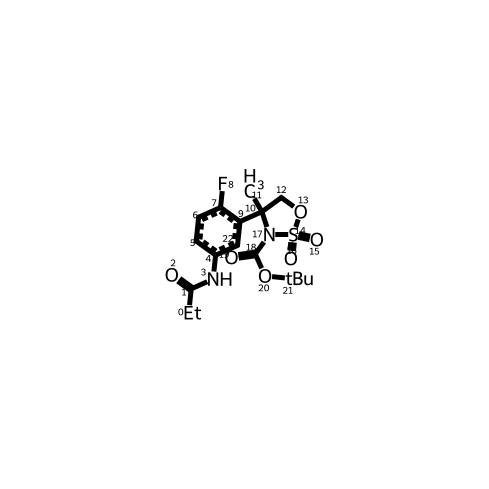 CCC(=O)Nc1ccc(F)c(C2(C)COS(=O)(=O)N2C(=O)OC(C)(C)C)c1